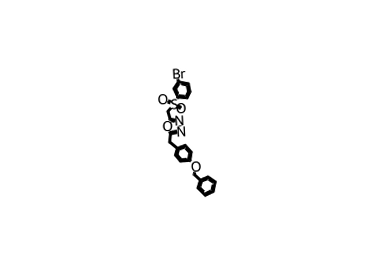 O=S(=O)(Cc1nnc(Cc2ccc(OCc3ccccc3)cc2)o1)c1cccc(Br)c1